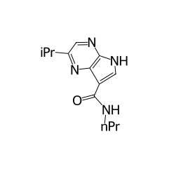 CCCNC(=O)c1c[nH]c2ncc(C(C)C)nc12